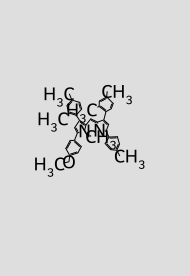 COc1ccc(-c2cc(-c3ccc(C)cc3C)c(/C=C3\N=C(c4ccc(C)cc4)C=C3c3ccc(C)cc3C)n2C)cc1